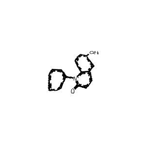 O=c1ccc2cc(O)ccc2n1-c1ccccc1